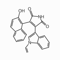 C=Cn1cc(C2=C(c3c(O)ccc4ccccc34)C(=O)NC2=O)c2ccccc21